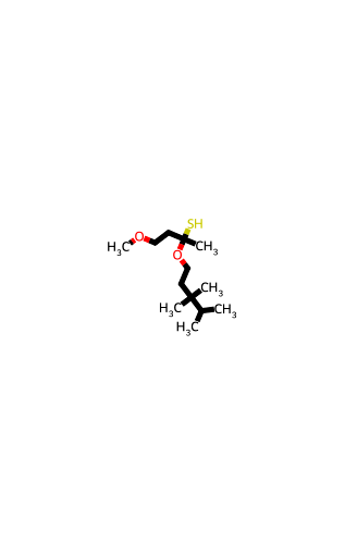 COCCC(C)(S)OCCC(C)(C)C(C)C